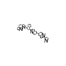 c1cncc(-c2ccc3cc(-c4ccc5nc(-c6ccc(-c7ccc8ccc9cccnc9c8n7)c7ccccc67)ccc5c4)ccc3n2)c1